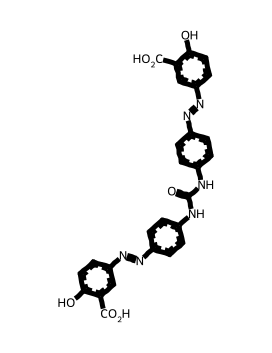 O=C(Nc1ccc(N=Nc2ccc(O)c(C(=O)O)c2)cc1)Nc1ccc(N=Nc2ccc(O)c(C(=O)O)c2)cc1